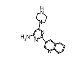 Nc1cc(N2CCNCC2)nc(-c2cnc3ccccc3c2)n1